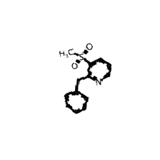 CS(=O)(=O)c1cccnc1Cc1ccccc1